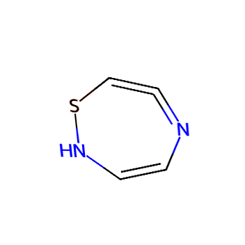 C1=CSNC=CN=1